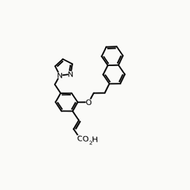 O=C(O)C=Cc1ccc(Cn2cccn2)cc1OCCc1ccc2ccccc2c1